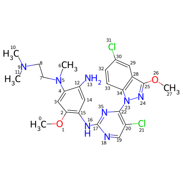 COc1cc(N(C)CCN(C)C)c(N)cc1Nc1ncc(Cl)c(-n2nc(OC)c3cc(Cl)ccc32)n1